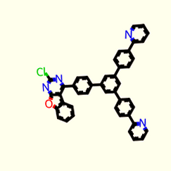 Clc1nc(-c2ccc(-c3cc(-c4ccc(-c5ccccn5)cc4)cc(-c4ccc(-c5ccccn5)cc4)c3)cc2)c2c(n1)oc1ccccc12